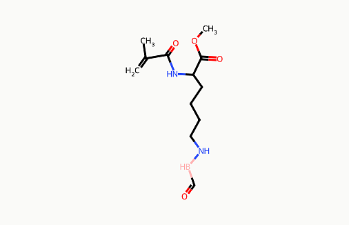 C=C(C)C(=O)NC(CCCCNBC=O)C(=O)OC